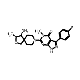 C[C@@H]1OCC2(CCN(c3nc4[nH]nc(-c5ccc(F)cc5)c4c(=O)n3C)CC2)[C@@H]1N